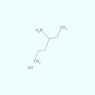 CCCC(N)CC.[LiH]